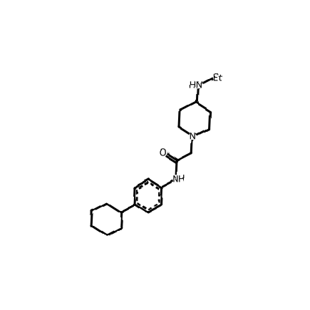 CCNC1CCN(CC(=O)Nc2ccc(C3CCCCC3)cc2)CC1